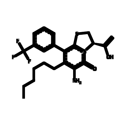 C=C(O)[C@@H]1CSc2c(-c3cccc(C(F)(F)F)c3)c(CCCCCC)c(N)c(=O)n21